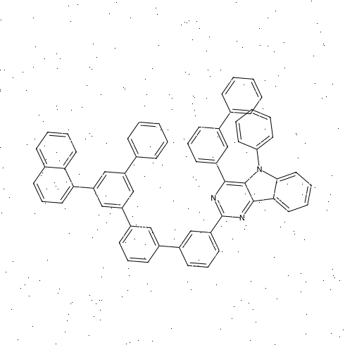 c1ccc(-c2cc(-c3cccc(-c4cccc(-c5nc(-c6cccc(-c7ccccc7)c6)c6c(n5)c5ccccc5n6-c5ccccc5)c4)c3)cc(-c3cccc4ccccc34)c2)cc1